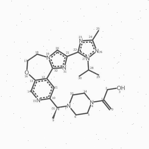 C=C(CO)N1CCN([C@@H](C)c2cc3c(cn2)OCCn2cc(-c4nc(C)nn4C(C)C)nc2-3)CC1